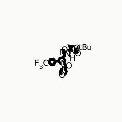 CC(C)(C)OC(=O)NC1(c2nc(C3CC(c4ccc(C(F)(F)F)cc4)CN(C(=O)N4CCOCC4)C3)no2)CC1